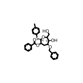 Cc1ccc(S[C@H]2OC(CO)[C@@H](O)C(OCc3ccccc3)CC2OC(=O)c2ccccc2)cc1